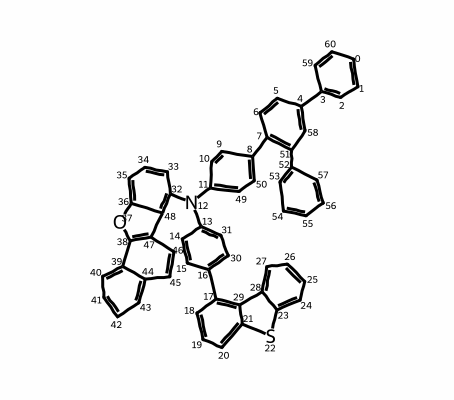 c1ccc(-c2ccc(-c3ccc(N(c4ccc(-c5cccc6sc7ccccc7c56)cc4)c4cccc5oc6c7ccccc7ccc6c45)cc3)c(-c3ccccc3)c2)cc1